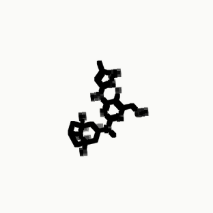 Cc1cc(Nc2nc(N(C)[C@@H]3C[C@H]4CC5C[C@@H](C3)N54)nc(CO)c2F)n[nH]1